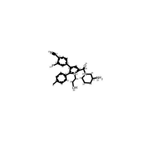 Cc1ccc(-c2c(-c3ccc(C#N)c(F)c3)cc(C(=O)N3CCCC(N)C3)n2CCO)cc1